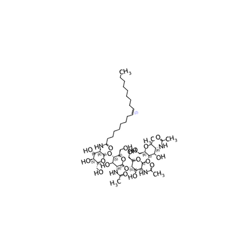 CCCCCCCC/C=C\CCCCCCCC(=O)N[C@H]1[C@H](O[C@H]2C(O)[C@@H](NC(C)=O)[C@H](O[C@H]3[C@H](O)[C@@H](NC(C)=O)[C@H](O[C@H]4C(O)[C@@H](NC(C)=O)C(C)O[C@@H]4CO)O[C@@H]3CO)O[C@@H]2CO)O[C@H](CO)[C@@H](O)[C@@H]1O